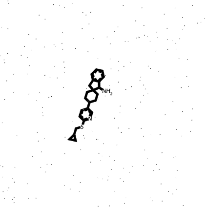 NC1c2ccccc2CC12CCC(c1ccc(SCC3CC3)nc1)CC2